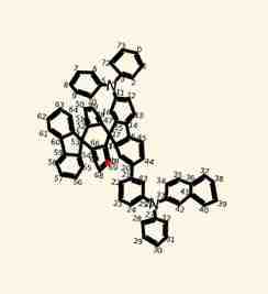 c1ccc(N(c2ccccc2)c2ccc3c(c2)C2(c4cc(-c5cccc(N(c6ccccc6)c6ccc7ccccc7c6)c5)ccc4-3)c3ccccc3C3(c4ccccc4-c4ccccc43)c3ccccc32)cc1